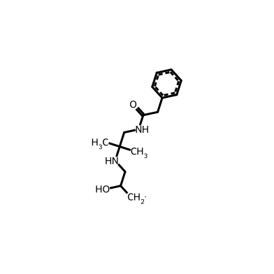 [CH2]C(O)CNC(C)(C)CNC(=O)Cc1ccccc1